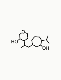 CC(C)C1CCCC(CC(C)C2CCOCC2O)CC1O